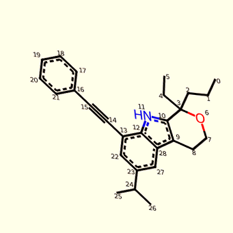 CCCC1(CC)OCCc2c1[nH]c1c(C#Cc3ccccc3)cc(C(C)C)cc21